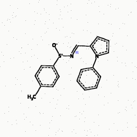 Cc1ccc([S+]([O-])/N=C/c2cccn2-c2ccccc2)cc1